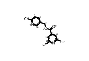 O=C(OCc1ccc(Cl)nc1)c1cc(F)nc(F)c1